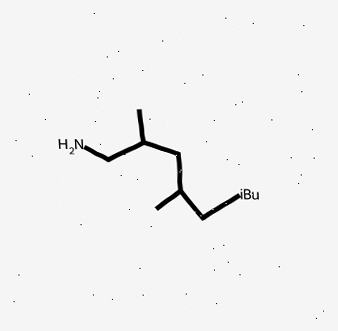 CCC(C)CC(C)CC(C)CN